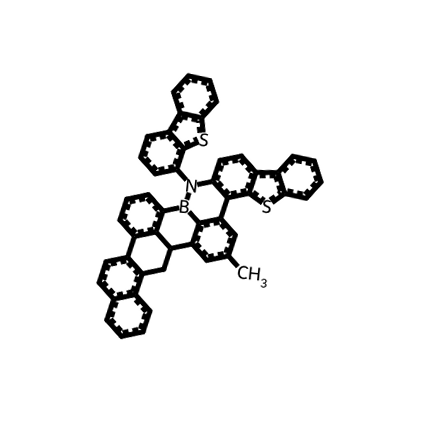 Cc1cc2c3c(c1)C1Cc4c(ccc5ccccc45)-c4cccc(c41)B3N(c1cccc3c1sc1ccccc13)c1ccc3c(sc4ccccc43)c1-2